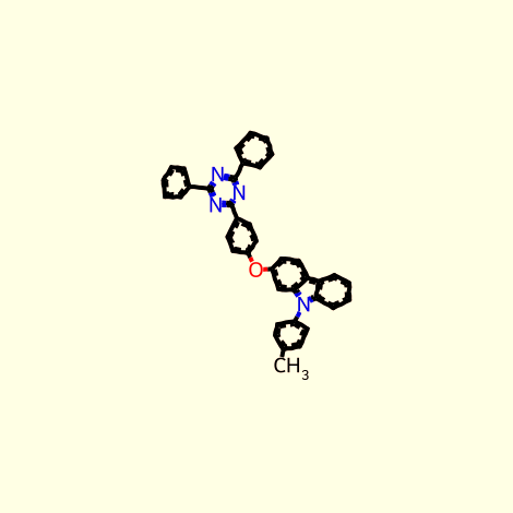 Cc1ccc(-n2c3ccccc3c3ccc(Oc4ccc(-c5nc(-c6ccccc6)nc(-c6ccccc6)n5)cc4)cc32)cc1